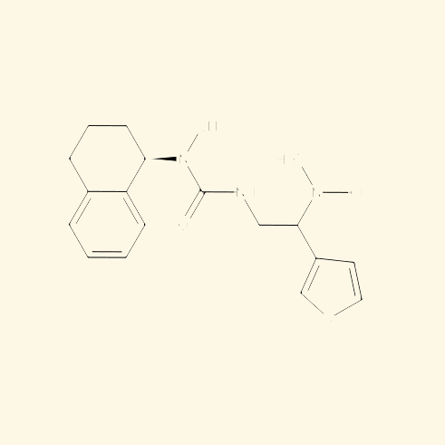 CN(C)C(CNC(=O)N(C)[C@@H]1CCCc2ccccc21)c1ccsc1